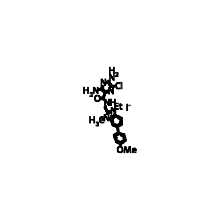 CCn1c(CNC(=O)c2nc(Cl)c(N)nc2N)[n+](C)c2cc(-c3ccc(OC)cc3)ccc21.[I-]